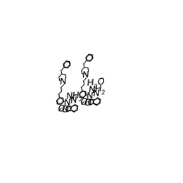 CN=C(N)N(c1cc(CCCCN2CCC(Cc3ccccc3)CC2)ccc1OC)c1occ2ccccc12.CN=C(N)N(c1cc(CCCCN2CCC(Cc3ccccc3)CC2)ccc1OC)c1occ2ccccc12.O